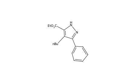 CCCCc1c(-c2ccccc2)n[nH]c1C(=O)OCC